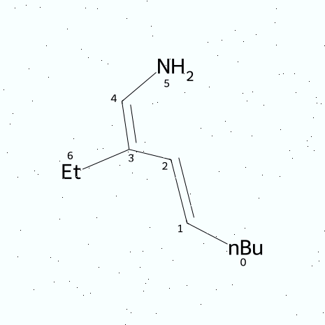 CCCC/C=C/C(=C\N)CC